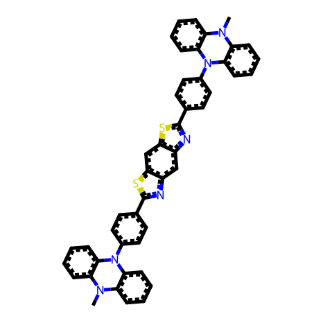 CN1c2ccccc2N(c2ccc(-c3nc4cc5nc(-c6ccc(N7c8ccccc8N(C)c8ccccc87)cc6)sc5cc4s3)cc2)c2ccccc21